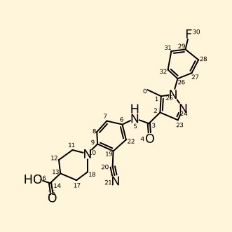 Cc1c(C(=O)Nc2ccc(N3CCC(C(=O)O)CC3)c(C#N)c2)cnn1-c1ccc(F)cc1